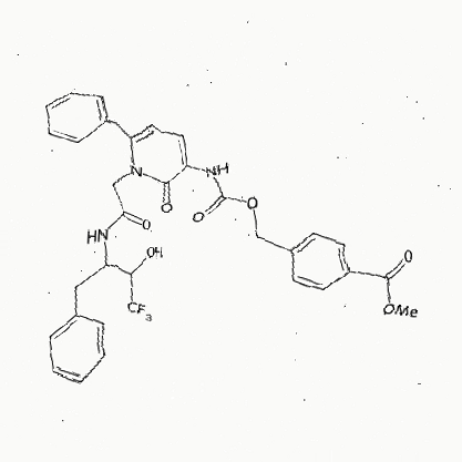 COC(=O)c1ccc(COC(=O)Nc2ccc(-c3ccccc3)n(CC(=O)NC(Cc3ccccc3)C(O)C(F)(F)F)c2=O)cc1